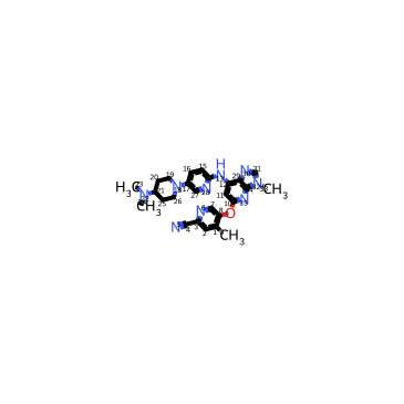 Cc1cc(C#N)ncc1Oc1cc(Nc2ccc(N3CCC(N(C)C)CC3)cn2)c2ncn(C)c2n1